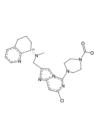 CN(Cc1cn2c(N3CCN(C(=O)O)CC3)nc(Cl)cc2n1)[C@H]1CCCc2cccnc21